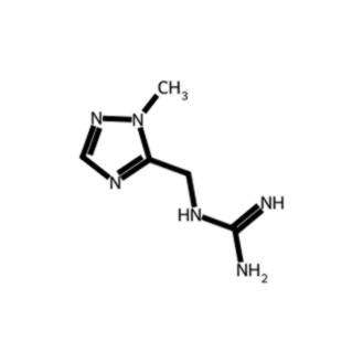 Cn1ncnc1CNC(=N)N